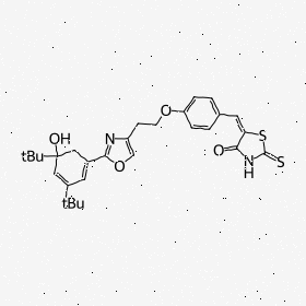 CC(C)(C)C1=CC(O)(C(C)(C)C)CC(c2nc(CCOc3ccc(C=C4SC(=S)NC4=O)cc3)co2)=C1